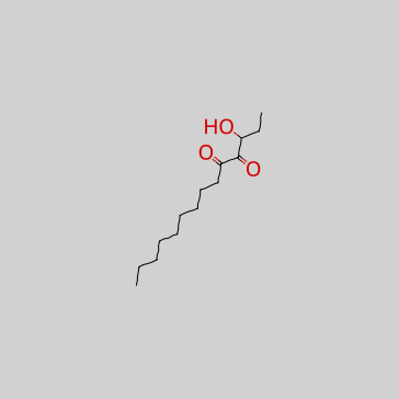 CCCCCCCCCC(=O)C(=O)C(O)CC